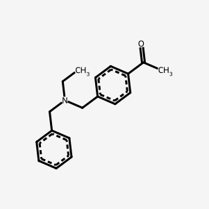 CCN(Cc1ccccc1)Cc1ccc(C(C)=O)cc1